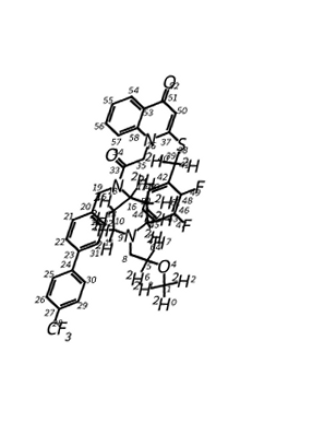 [2H]C([2H])([2H])OC([2H])([2H])CN1C([2H])([2H])C([2H])([2H])C([2H])(N(Cc2ccc(-c3ccc(C(F)(F)F)cc3)cc2)C(=O)Cn2c(SC([2H])([2H])c3cccc(F)c3F)cc(=O)c3ccccc32)C([2H])([2H])C1([2H])[2H]